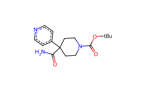 CC(C)(C)OC(=O)N1CCC(C(N)=O)(c2ccncc2)CC1